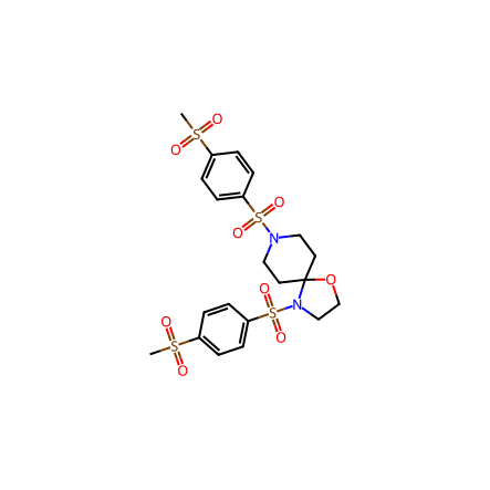 CS(=O)(=O)c1ccc(S(=O)(=O)N2CCC3(CC2)OCCN3S(=O)(=O)c2ccc(S(C)(=O)=O)cc2)cc1